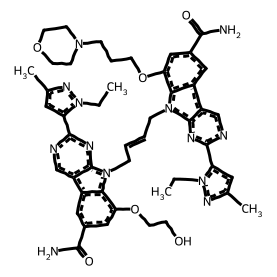 CCn1nc(C)cc1-c1ncc2c3cc(C(N)=O)cc(OCCO)c3n(C/C=C/Cn3c4nc(-c5cc(C)nn5CC)ncc4c4cc(C(N)=O)cc(OCCCN5CCOCC5)c43)c2n1